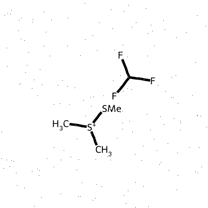 CS[S+](C)C.FC(F)F